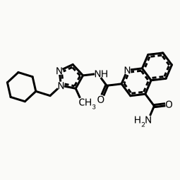 Cc1c(NC(=O)c2cc(C(N)=O)c3ccccc3n2)cnn1CC1CCCCC1